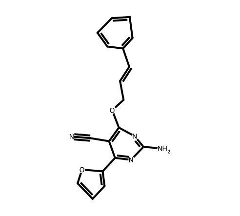 N#Cc1c(OC/C=C/c2ccccc2)nc(N)nc1-c1ccco1